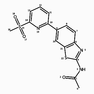 CC(=O)Nc1nc2ccc(-c3cccc(S(C)(=O)=O)n3)cc2s1